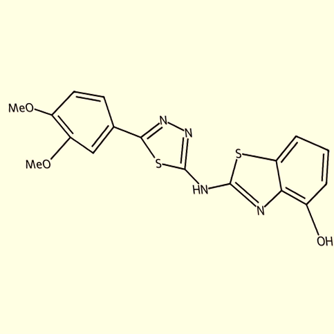 COc1ccc(-c2nnc(Nc3nc4c(O)cccc4s3)s2)cc1OC